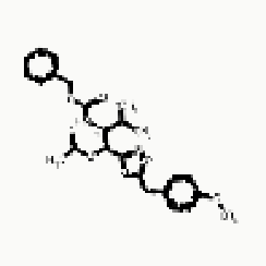 COc1ccc(Cc2nc(C(OC(C)=O)[C@@H](NC(=O)OCc3ccccc3)C(C)C)no2)cc1